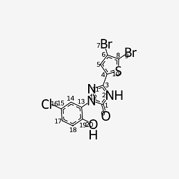 O=c1[nH]c(-c2cc(Br)c(Br)s2)nn1-c1cc(Cl)ccc1O